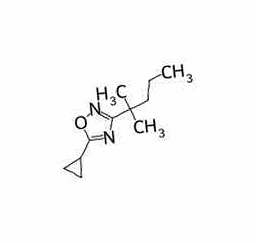 CCCC(C)(C)c1noc(C2CC2)n1